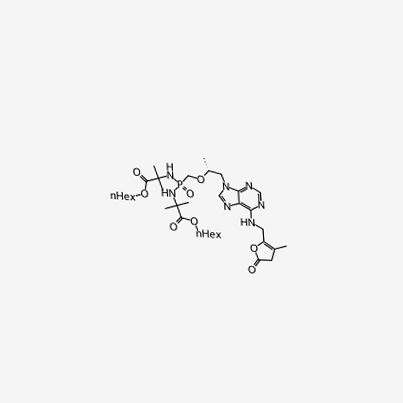 CCCCCCOC(=O)C(C)(C)NP(=O)(CO[C@H](C)Cn1cnc2c(NCC3=C(C)CC(=O)O3)ncnc21)NC(C)(C)C(=O)OCCCCCC